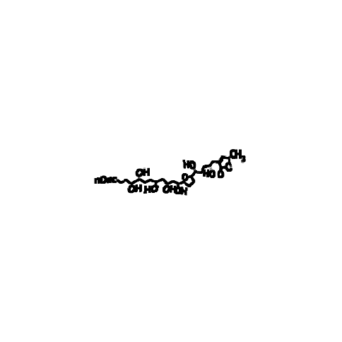 CCCCCCCCCCCC[C@@H](O)[C@H](O)CC[C@H](O)C[C@@H](O)C[C@H](O)[C@@H]1CC[C@H]([C@H](O)CC[C@@H](O)CC2=C[C@H](C)OC2=O)O1